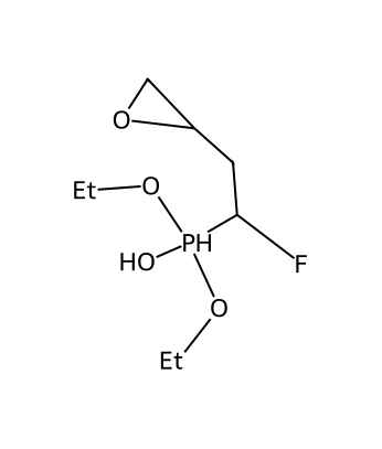 CCO[PH](O)(OCC)C(F)CC1CO1